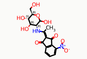 CC(N[C@H]1C(O)O[C@H](CO)[C@@H](O)[C@@H]1O)=C1C(=O)c2cccc([N+](=O)[O-])c2C1=O